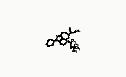 C=CC(=O)N1CCc2nn(C3CCCCO3)c3c2C(C1)N(C(=O)OC(C)(C)C)CC3